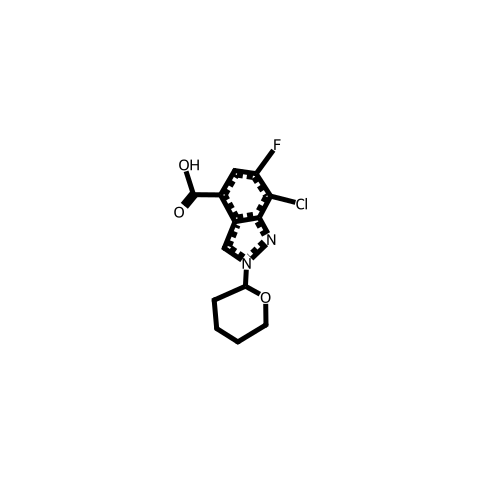 O=C(O)c1cc(F)c(Cl)c2nn(C3CCCCO3)cc12